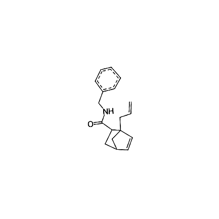 C=CCC12C=CC(CC1C(=O)NCc1ccccc1)C2